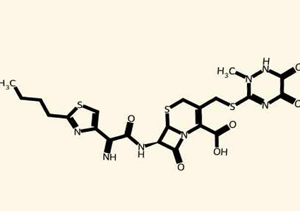 CCCCc1nc(C(=N)C(=O)N[C@@H]2C(=O)N3C(C(=O)O)=C(CSc4nc(=O)c(=O)[nH]n4C)CSC23)cs1